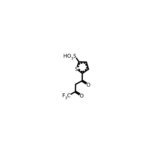 O=C(CC(=O)C(F)(F)F)c1ccc(S(=O)(=O)O)s1